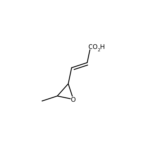 CC1OC1C=CC(=O)O